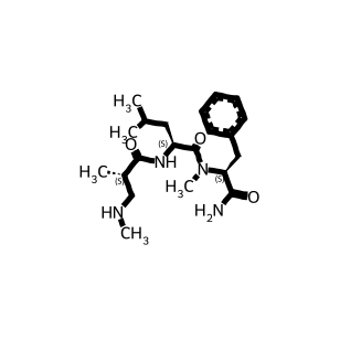 CNC[C@H](C)C(=O)N[C@@H](CC(C)C)C(=O)N(C)[C@@H](Cc1ccccc1)C(N)=O